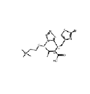 CC(C)[C@H](C(=O)O)[C@H](Cc1csc(Br)n1)c1nnnn1COCC[Si](C)(C)C